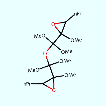 CCCC1OC1(OC)C(OC)(OC)OC(OC)(OC)C1(OC)OC1CCC